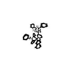 c1ccc(C2=NC(c3ccccc3)NC(c3ccc4c(c3)C3(c5cc6ccccc6cc5-4)c4ccccc4N(c4ccccc4)c4ccccc43)=N2)cc1